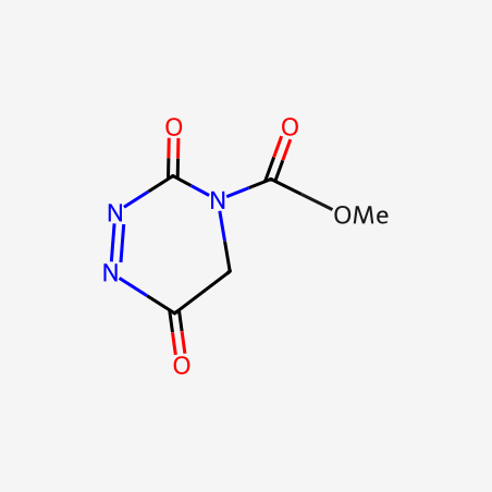 COC(=O)N1CC(=O)N=NC1=O